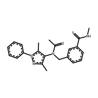 CNC(=S)c1cccc(CN(C(C)=S)c2c(C)nn(-c3ccccc3)c2C)c1